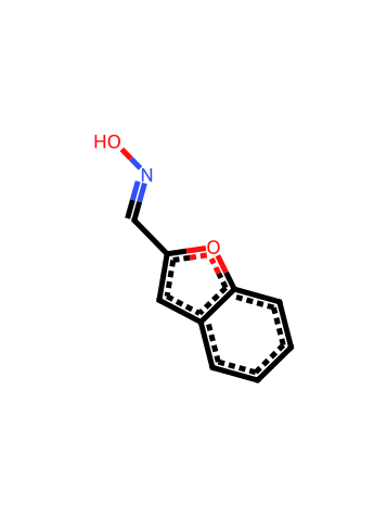 O/N=C/c1cc2ccccc2o1